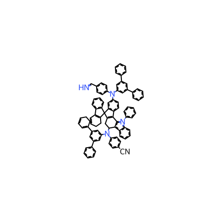 N#Cc1ccc(N(c2cc(C3=CC=CCC3)cc(-c3ccccc3)c2)C2CC3=C(c4ccc(N(c5ccc(C=N)cc5)c5cc(-c6ccccc6)cc(-c6ccccc6)c5)cc4C34C3=C(C=CCC3)c3ccccc34)c3c2c2ccccc2n3-c2ccccc2)cc1